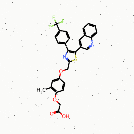 Cc1cc(OCc2nc(-c3ccc(C(F)(F)F)cc3)c(-c3cnc4ccccc4c3)s2)ccc1OCC(=O)O